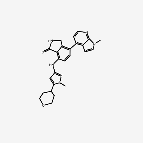 Cn1nc(Nc2ccc(-c3ccnc4c3ccn4C)c3c2C(=O)NC3)cc1C1CCOCC1